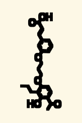 CCCc1c(OCCCOc2cccc(C=CC(=O)O)c2)ccc(C(C)=O)c1O